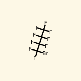 FC(F)(Br)C(F)(F)C(F)(F)C(F)(F)I